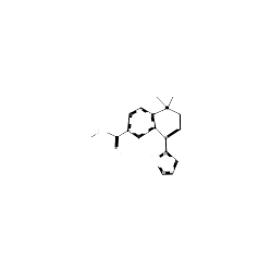 COC(=O)c1ccc2c(c1)C(c1cccs1)=CCC2(C)C